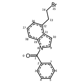 O=C(c1ccccc1)n1ccc2c(CCBr)cccc21